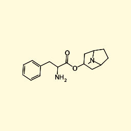 CN1C2CCC1CC(OC(=O)C(N)Cc1ccccc1)C2